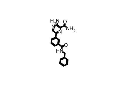 NC(=O)c1nc(-c2cccc(C(=O)NCc3ccccc3)c2)cnc1N